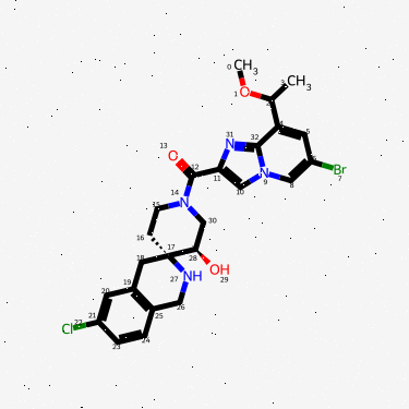 COC(C)c1cc(Br)cn2cc(C(=O)N3CC[C@]4(Cc5cc(Cl)ccc5CN4)[C@H](O)C3)nc12